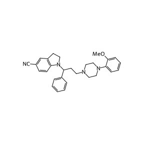 COc1ccccc1N1CCN(CCC(c2ccccc2)N2CCc3cc(C#N)ccc32)CC1